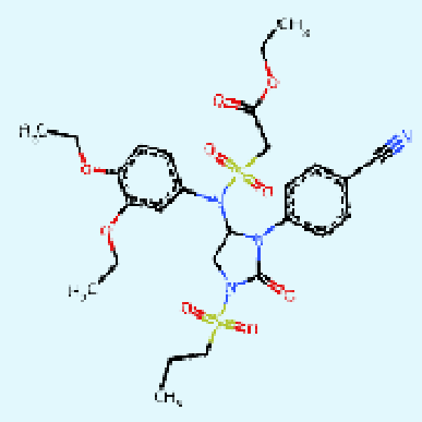 CCCS(=O)(=O)N1CC(N(c2ccc(OCC)c(OCC)c2)S(=O)(=O)CC(=O)OCC)N(c2ccc(C#N)cc2)C1=O